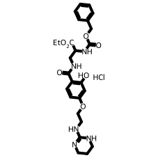 CCOC(=O)C(CNC(=O)c1ccc(OCCNC2=NCCCN2)cc1O)NC(=O)OCc1ccccc1.Cl